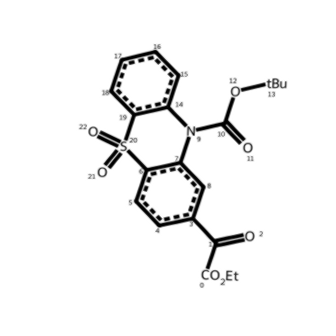 CCOC(=O)C(=O)c1ccc2c(c1)N(C(=O)OC(C)(C)C)c1ccccc1S2(=O)=O